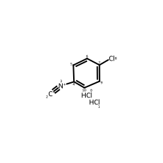 Cl.Cl.[C-]#[N+]c1ccc(Cl)cc1